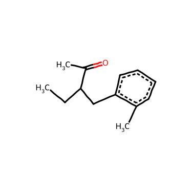 CCC(Cc1ccccc1C)C(C)=O